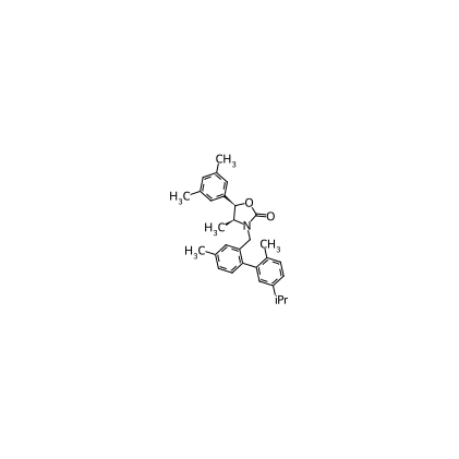 Cc1cc(C)cc([C@H]2OC(=O)N(Cc3cc(C)ccc3-c3cc(C(C)C)ccc3C)[C@H]2C)c1